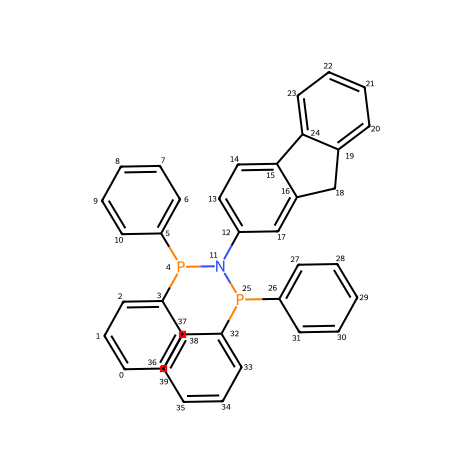 c1ccc(P(c2ccccc2)N(c2ccc3c(c2)Cc2ccccc2-3)P(c2ccccc2)c2ccccc2)cc1